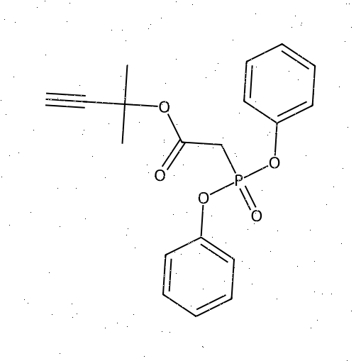 C#CC(C)(C)OC(=O)CP(=O)(Oc1ccccc1)Oc1ccccc1